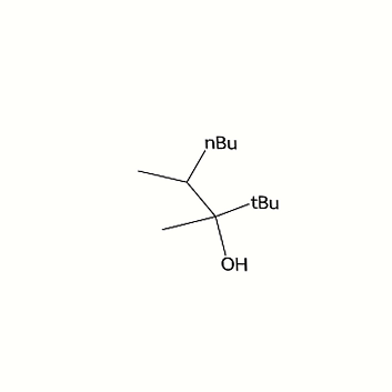 CCCCC(C)C(C)(O)C(C)(C)C